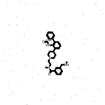 CNCc1cccc(C(=O)N(C)CCN2CCC(c3cccc(-c4ccccc4)c3NC(=O)O)CC2)c1